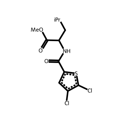 COC(=O)C(CC(C)C)NC(=O)c1cc(Cl)c(Cl)s1